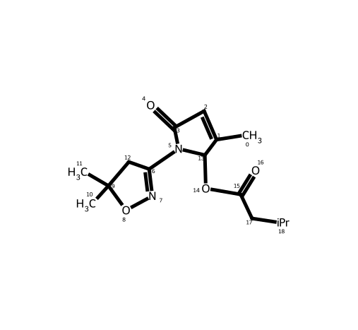 CC1=CC(=O)N(C2=NOC(C)(C)C2)C1OC(=O)CC(C)C